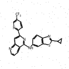 FC(F)(F)c1ccc(-c2cc3ncccc3c(Nc3ccc4nc(C5CC5)sc4c3)n2)nc1